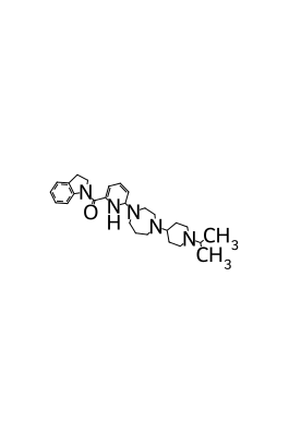 CC(C)N1CCC(N2CCCN(C3C=CC=C(C(=O)N4CCc5ccccc54)N3)CC2)CC1